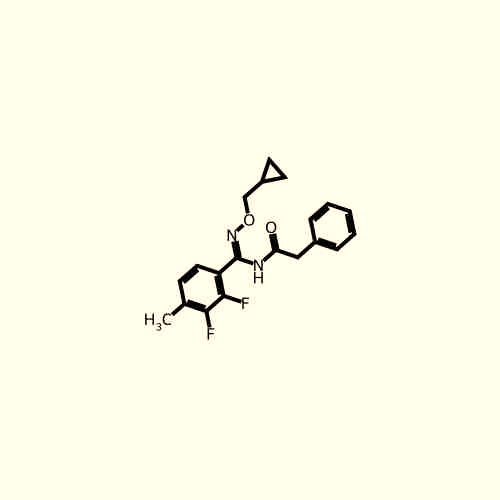 Cc1ccc(C(=NOCC2CC2)NC(=O)Cc2ccccc2)c(F)c1F